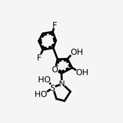 Oc1c(-c2cc(F)ccc2F)oc(N2CCCS2(O)O)c1O